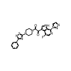 O=C(C(=O)N1CCN(c2nc(-c3ccccc3)ns2)CC1)c1c[nH]c2c(-n3ccnn3)ncc(F)c12